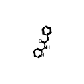 O=C(Cc1ccccc1)Nc1cc[c]cn1